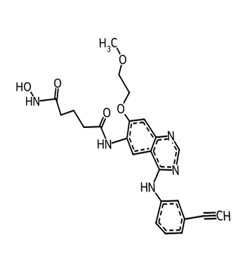 C#Cc1cccc(Nc2ncnc3cc(OCCOC)c(NC(=O)CCCC(=O)NO)cc23)c1